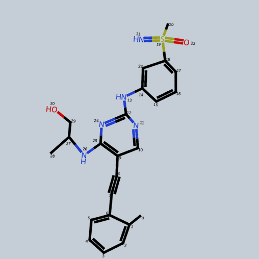 Cc1ccccc1C#Cc1cnc(Nc2cccc(S(C)(=N)=O)c2)nc1NC(C)CO